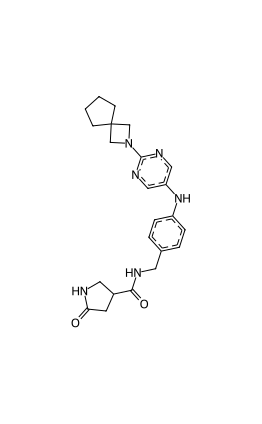 O=C1CC(C(=O)NCc2ccc(Nc3cnc(N4CC5(CCCC5)C4)nc3)cc2)CN1